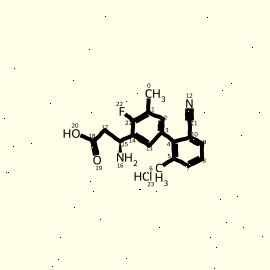 Cc1cc(-c2c(C)cccc2C#N)cc([C@@H](N)CC(=O)O)c1F.Cl